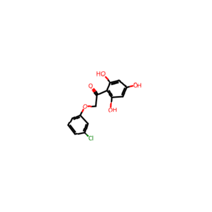 O=C(COc1cccc(Cl)c1)c1c(O)cc(O)cc1O